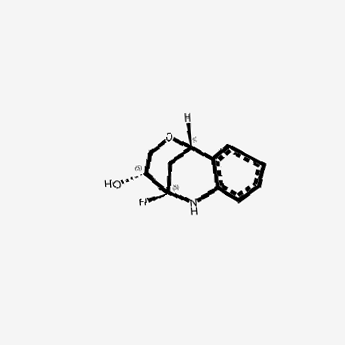 O[C@@H]1CO[C@H]2C[C@@H]1Nc1ccccc12